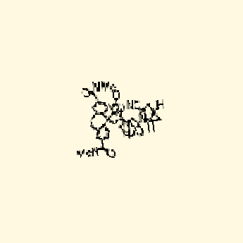 CNC(=O)c1ccc2c(c1)CCc1cc(C(=O)NC)ccc1C2(CCNCC(=O)N1[C@H](C#N)C[C@@H]2C[C@@H]21)c1nc(=O)on1C1CCCCC1